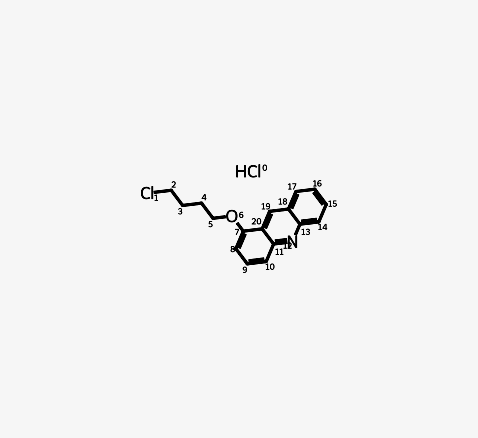 Cl.ClCCCCOc1cccc2nc3ccccc3cc12